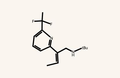 C/C=C(/CNC(C)(C)C)c1cccc(C(C)(F)F)n1